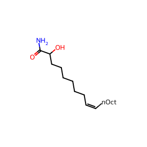 CCCCCCCC/C=C\CCCCCCC(O)C(N)=O